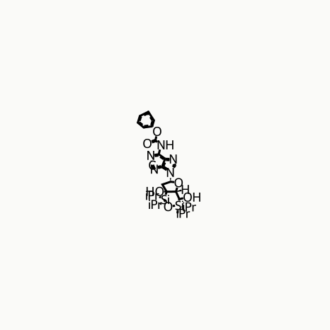 CC(C)[Si]1(C(C)C)O[Si](C(C)C)(C(C)C)[C@]2(O)C[C@H](n3cnc4c(NC(=O)Oc5ccccc5)ncnc43)O[C@@H]2C1O